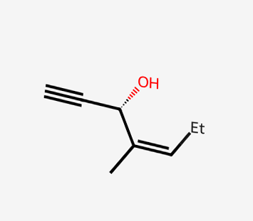 C#C[C@H](O)C(C)=CCC